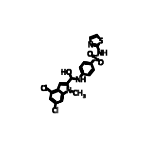 Cn1c(C(O)Nc2ccc(S(=O)(=O)Nc3nccs3)cc2)cc2c(Cl)cc(Cl)cc21